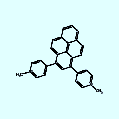 C[n+]1ccc(-c2cc(-c3cc[n+](C)cc3)c3ccc4cccc5ccc2c3c54)cc1